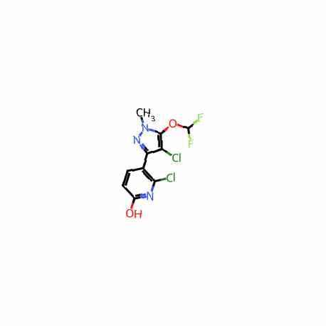 Cn1nc(-c2ccc(O)nc2Cl)c(Cl)c1OC(F)F